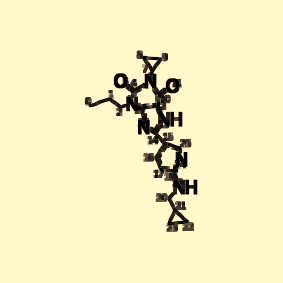 CCCn1c(=O)n(C2CC2)c(=O)c2[nH]c(-c3ccc(NCC4CC4)nc3)nc21